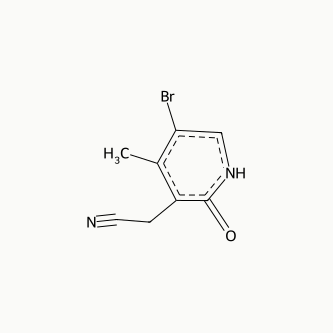 Cc1c(Br)c[nH]c(=O)c1CC#N